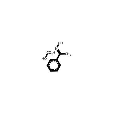 CC(=NO)c1ccccc1.O=C(O)O